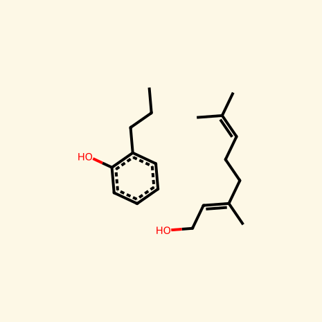 CC(C)=CCCC(C)=CCO.CCCc1ccccc1O